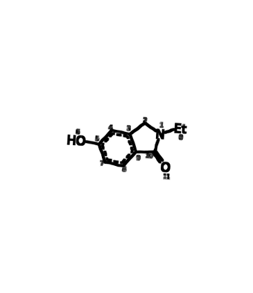 CCN1Cc2cc(O)ccc2C1=O